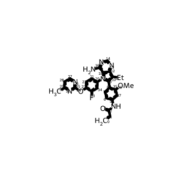 C=CC(=O)Nc1ccc(-c2c(CC)c3ncnc(N)c3n2-c2ccc(Oc3nccc(C)n3)c(F)c2)c(OC)c1